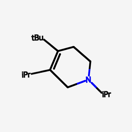 CC(C)C1=C(C(C)(C)C)CCN(C(C)C)C1